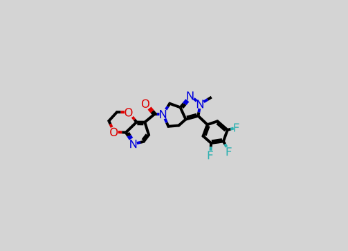 Cn1nc2c(c1-c1cc(F)c(F)c(F)c1)CCN(C(=O)c1ccnc3c1OCCO3)C2